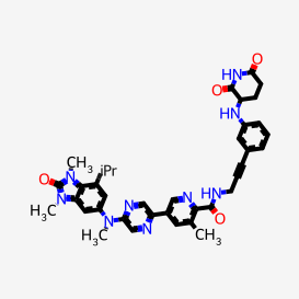 Cc1cc(-c2cnc(N(C)c3cc(C(C)C)c4c(c3)n(C)c(=O)n4C)cn2)cnc1C(=O)NCC#Cc1cccc(NC2CCC(=O)NC2=O)c1